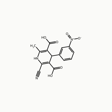 CC1=C(C(=O)O)C(c2cccc([N+](=O)[O-])c2)C(C(=O)O)=C(C#N)N1